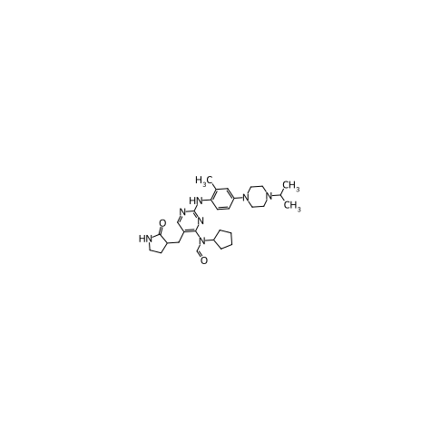 Cc1cc(N2CCN(C(C)C)CC2)ccc1Nc1ncc(CC2CCNC2=O)c(N(C=O)C2CCCC2)n1